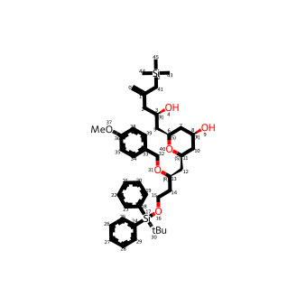 C=C(C[C@@H](O)C[C@H]1C[C@@H](O)C[C@@H](C[C@@H](CCO[Si](c2ccccc2)(c2ccccc2)C(C)(C)C)OCc2ccc(OC)cc2)O1)C[Si](C)(C)C